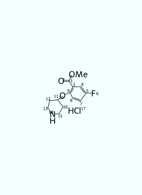 COC(=O)c1cc(F)ccc1OC1CCNCC1.Cl